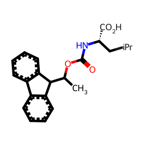 CC(C)C[C@H](NC(=O)OC(C)C1c2ccccc2-c2ccccc21)C(=O)O